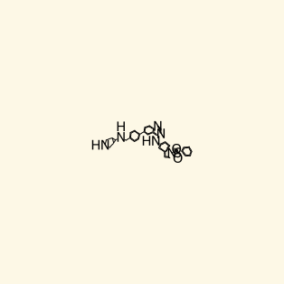 O=S(=O)(c1ccccc1)n1ccc2cc(Nc3ncnc4ccc(-c5ccc(CNC6C7CNCC76)cc5)cc34)ccc21